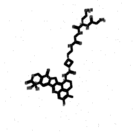 CC[C@@]1(O)C(=O)OCc2c1cc1n(c2=O)Cc2c-1nc1cc(F)c(C)c3c1c2[C@@H](NC(=O)[C@H]1C[C@@H](CCNC(=O)CNC(=O)[C@H](CCC(=O)O)NC(=O)CN)C1)CC3